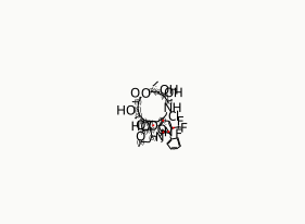 CC[C@H]1OC(=O)[C@H](C)[C@@H](O)[C@H](C)[C@@H](O[C@@H]2O[C@H](C)C[C@H](N(C)C(=O)N(C)c3ccccc3)[C@H]2Oc2ccc(C(F)(F)F)c(Cl)c2)[C@](C)(O)C[C@@H](C)CN[C@H](C)[C@@H](O)[C@]1(C)O